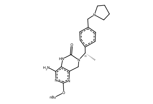 CCCCOc1nc(N)c2c(n1)CN([C@@H](C)c1ccc(CN3CCCC3)cc1)C(=O)N2